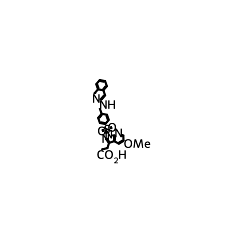 COc1cnc2c(c1)c(CCC(=O)O)nn2S(=O)(=O)c1ccc(CNc2cc3ccccc3cn2)cc1